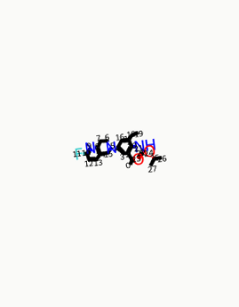 CCc1cc(N2CCc3nc(F)ccc3C2)cc(CC)c1NC(=O)OC(C)C